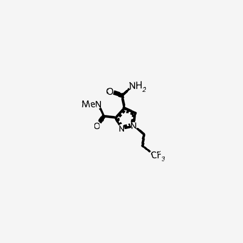 CNC(=O)c1nn(CCC(F)(F)F)cc1C(N)=O